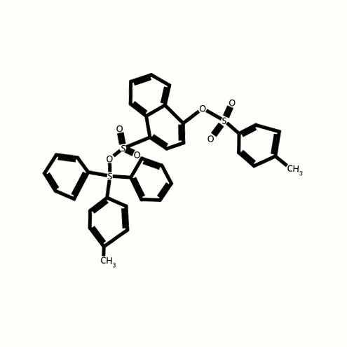 Cc1ccc(S(OS(=O)(=O)c2ccc(OS(=O)(=O)c3ccc(C)cc3)c3ccccc23)(c2ccccc2)c2ccccc2)cc1